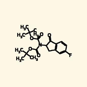 CC(C)(C)OC(=O)N(C(=O)OC(C)(C)C)C1Cc2cc(F)ccc2C1=O